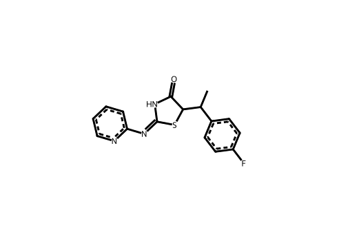 CC(c1ccc(F)cc1)C1S/C(=N/c2ccccn2)NC1=O